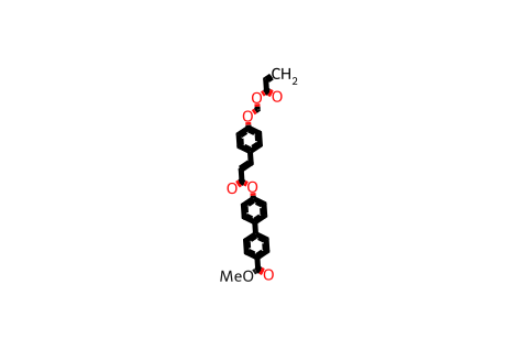 C=CC(=O)OCOc1ccc(C=CC(=O)Oc2ccc(-c3ccc(C(=O)OC)cc3)cc2)cc1